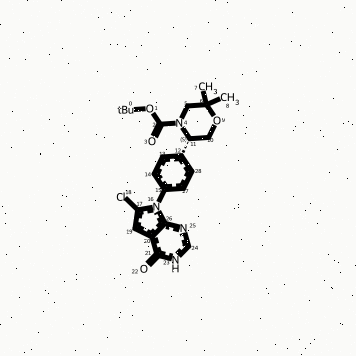 CC(C)(C)OC(=O)N1CC(C)(C)OC[C@@H]1c1ccc(-n2c(Cl)cc3c(=O)[nH]cnc32)cc1